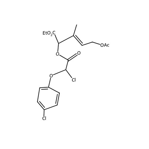 CCOC(=O)C(OC(=O)C(Cl)Oc1ccc(Cl)cc1)C(C)=CCOC(C)=O